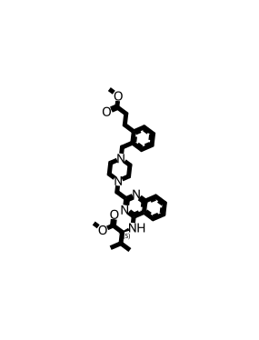 COC(=O)CCc1ccccc1CN1CCN(Cc2nc(N[C@H](C(=O)OC)C(C)C)c3ccccc3n2)CC1